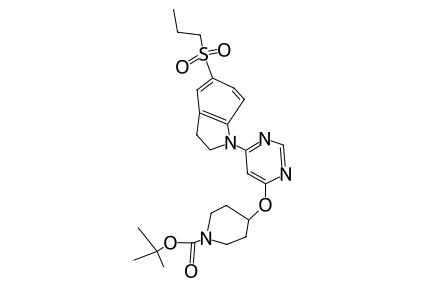 CCCS(=O)(=O)c1ccc2c(c1)CCN2c1cc(OC2CCN(C(=O)OC(C)(C)C)CC2)ncn1